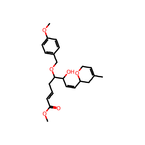 COC(=O)/C=C/CC(OCc1ccc(OC)cc1)C(O)/C=C\C1CC(C)=CCO1